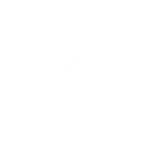 CN(C)C1(C)CCC(C(F)(F)F)C1